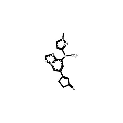 Cn1ccc(N(C(=O)O)c2cc(C3=CC(=O)CC3)cn3ncnc23)n1